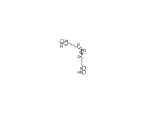 O=C(CCCCc1ccc2c(n1)CCCN2)CO[PH](=O)OCC(=O)CCCCc1ccc2c(n1)NCCC2